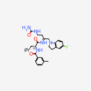 Cc1cccc(C(=O)N[C@@H](CC(C)C)C(=O)N[C@@H](CCNC(N)=O)CN2CCc3cc(F)ccc32)c1